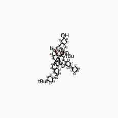 CC(C)(C)OC(=O)N1Cc2ccc(O)cc2CC1(C)C(=O)OC(=O)CC(NC(=O)C1c2ccc(Oc3ccc(C(C)(C)C)cc3)cc2CCN1C(=O)CC1CCCC1)c1ccc(-c2ccccc2)cc1